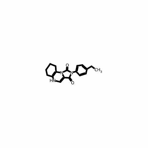 CCc1ccc(-n2c(=O)c3c[nH]c4c(n-3c2=O)CCCC4)cc1